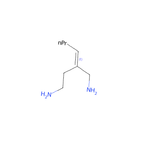 CCC/C=C(/CN)CCN